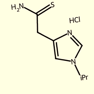 CC(C)n1cnc(CC(N)=S)c1.Cl